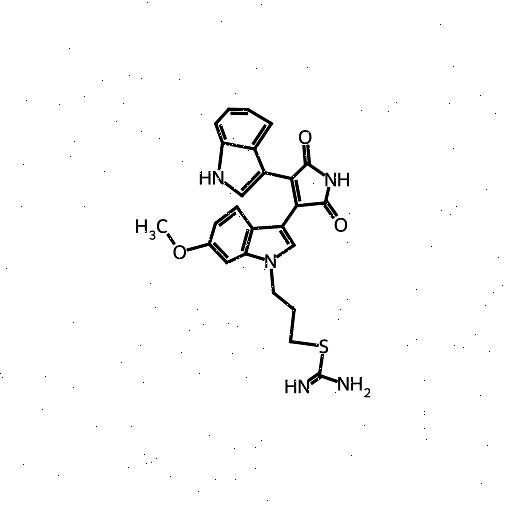 COc1ccc2c(C3=C(c4c[nH]c5ccccc45)C(=O)NC3=O)cn(CCCSC(=N)N)c2c1